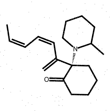 C=C(/C=C\C=C/C)[C@@]1(N2CCCCC2C)CCCCC1=O